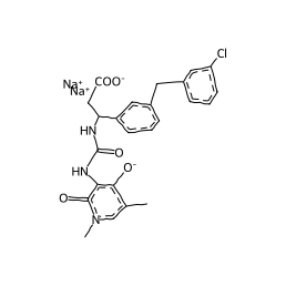 Cc1cn(C)c(=O)c(NC(=O)NC(CC(=O)[O-])c2cccc(Cc3cccc(Cl)c3)c2)c1[O-].[Na+].[Na+]